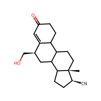 C[C@]12CCC3C4CCC(=O)C=C4[C@H](CO)CC3C1CC[C@@H]2C#N